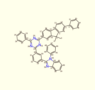 CC1(C)c2cc(-c3ccccc3)ccc2-c2ccc(-c3nc(-c4ccccc4)nc(-c4cccc(-c5nc6ccccc6n5-c5ccccc5)c4)n3)cc21